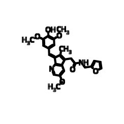 COc1cnc2c(c1)C(CC(=O)NCc1ccco1)=C(C)C2=Cc1cc(OC)c(O)c(OC)c1